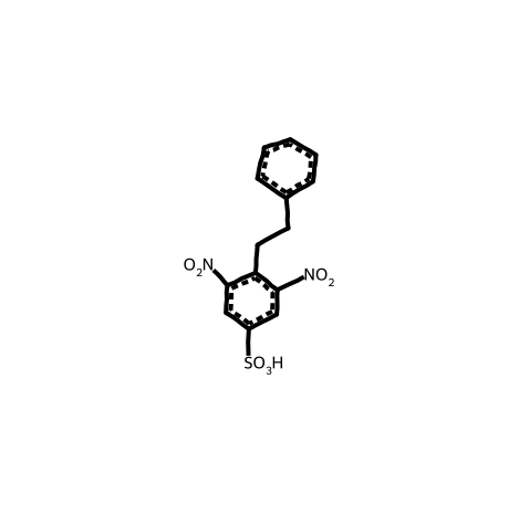 O=[N+]([O-])c1cc(S(=O)(=O)O)cc([N+](=O)[O-])c1CCc1ccccc1